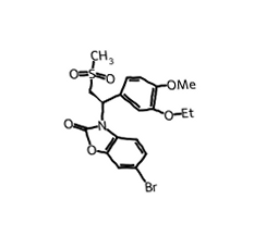 CCOc1cc([C@H](CS(C)(=O)=O)n2c(=O)oc3cc(Br)ccc32)ccc1OC